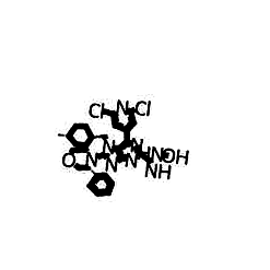 C[C@H]1CC[C@H](Cn2c(N3CCOC[C@H]3c3ccccc3)nc3nc(C(=N)NO)nc(-c4cc(Cl)nc(Cl)c4)c32)CC1